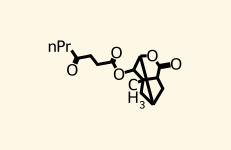 CCCC(=O)CCC(=O)OC1C2OC(=O)C3CC2CC31C